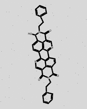 O=C1c2ccc3c4ncc5c6c(ccc(c7ncc(c2c37)C(=O)N1CCc1ccccc1)c64)C(O)N(CCc1ccccc1)C5=O